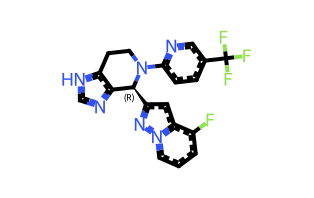 Fc1cccn2nc([C@H]3c4nc[nH]c4CCN3c3ccc(C(F)(F)F)cn3)cc12